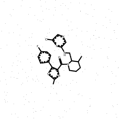 Cc1nc(C(=O)N2CCCC(C)C2CNc2cncc(Cl)n2)c(-c2ccc(F)cc2)s1